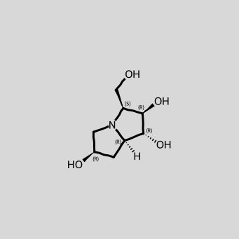 OC[C@H]1[C@@H](O)[C@H](O)[C@H]2C[C@@H](O)CN21